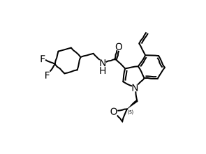 C=Cc1cccc2c1c(C(=O)NCC1CCC(F)(F)CC1)cn2C[C@H]1CO1